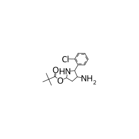 CC(C)(C)C(=O)OC1CC(N)C(c2ccccc2Cl)N1